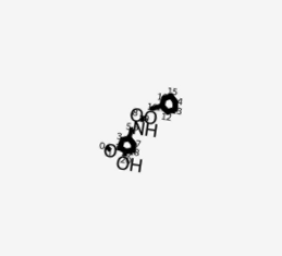 COc1cc(CNC(=O)OCc2ccccc2)ccc1O